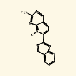 Cc1ccc2ccc(-c3ccc4ccccc4c3)[n+]([O-])c2n1